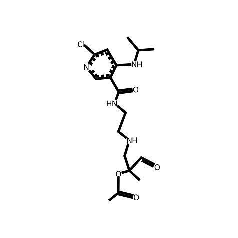 CC(=O)OC(C)(C=O)CNCCNC(=O)c1cnc(Cl)cc1NC(C)C